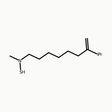 C=C(CCCCCCN(C)S)C(C)C